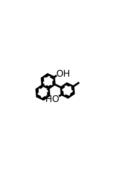 Cc1ccc(O)c(-c2c(O)ccc3ccccc23)c1